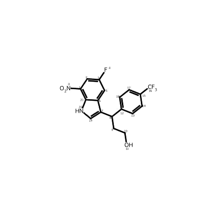 O=[N+]([O-])c1cc(F)cc2c(C(CCO)c3ccc(C(F)(F)F)cc3)c[nH]c12